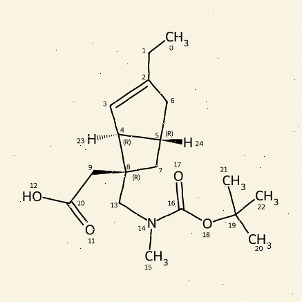 CCC1=C[C@H]2[C@H](C1)C[C@]2(CC(=O)O)CN(C)C(=O)OC(C)(C)C